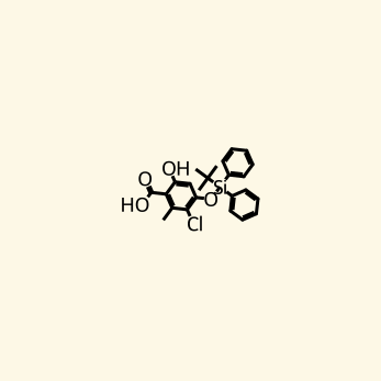 Cc1c(Cl)c(O[Si](c2ccccc2)(c2ccccc2)C(C)(C)C)cc(O)c1C(=O)O